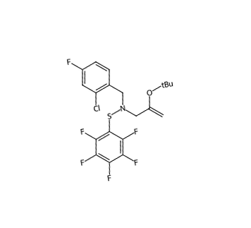 C=C(CN(Cc1ccc(F)cc1Cl)Sc1c(F)c(F)c(F)c(F)c1F)OC(C)(C)C